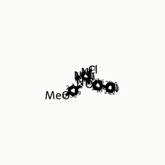 COc1ccc(Cn2cnc3nc(Cl)nc(Oc4ccc(-c5ccncc5)cc4)c32)cc1